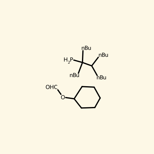 CCCCC(CCCC)C(P)(CCCC)CCCC.O=COC1CCCCC1